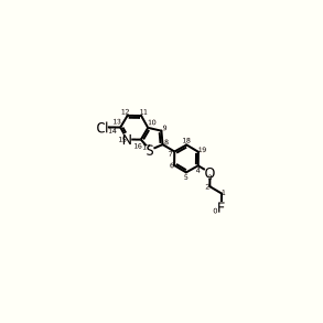 FCCOc1ccc(-c2cc3ccc(Cl)nc3s2)cc1